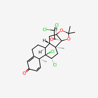 CC1(C)O[C@@H]2C[C@H]3[C@@H]4CCC5=CC(=O)C=C[C@]5(C)[C@@]4(Cl)[C@@H](Cl)C[C@]3(C)[C@]2(C(=O)C(Cl)Cl)O1